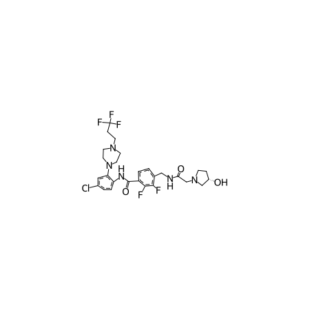 O=C(CN1CC[C@H](O)C1)NCc1ccc(C(=O)Nc2ccc(Cl)cc2N2CCN(CCC(F)(F)F)CC2)c(F)c1F